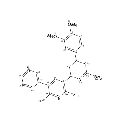 COc1ccc(C2CC(c3cc(-c4cncnc4)c(F)cc3F)N=C(N)S2)cc1OC